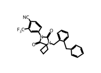 N#Cc1ccc(N2C(=O)N(Cc3ccccc3Cc3ccccc3)C3(CCC3)C2=O)cc1C(F)(F)F